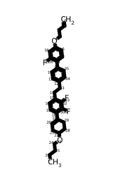 C=CCCOc1ccc(-c2ccc(CCc3ccc(C4=CCC(OCCCC)CC4)c(F)c3F)cc2)c(F)c1